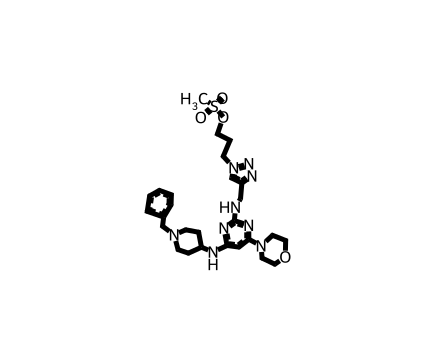 CS(=O)(=O)OCCCn1cc(CNc2nc(NC3CCN(Cc4ccccc4)CC3)cc(N3CCOCC3)n2)nn1